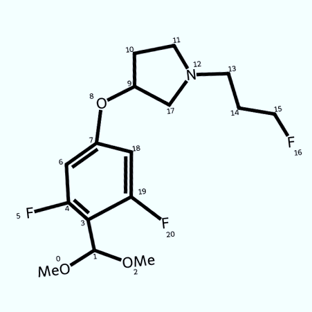 COC(OC)c1c(F)cc(OC2CCN(CCCF)C2)cc1F